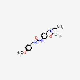 CCCN(Cc1ccc(NC(=O)NCc2ccc(OC)cc2)cc1)C(C)=O